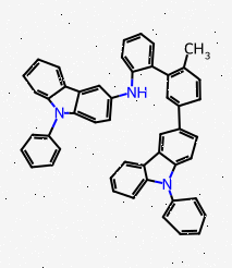 Cc1ccc(-c2ccc3c(c2)c2ccccc2n3-c2ccccc2)cc1-c1ccccc1Nc1ccc2c(c1)c1ccccc1n2-c1ccccc1